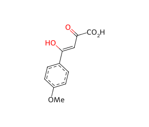 COc1ccc(C(O)=CC(=O)C(=O)O)cc1